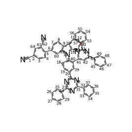 N#Cc1ccc(-c2ccc3c4ccccc4n(-c4ccc(-c5nc(-c6ccccc6)nc(-c6ccccc6)n5)cc4-c4cc(-c5ccccc5)nc(-c5ccccc5)n4)c3c2)c(C#N)c1